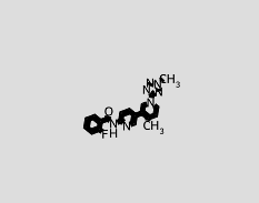 CC1=C(c2ccc(NC(=O)c3ccccc3F)nc2)CN(c2nnn(C)n2)CC1